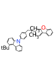 CC(C)(C)c1cccc2c1c1ccccc1n2-c1ccc(CC(C)(C)c2ccc3c(c2)oc2ccccc23)cc1